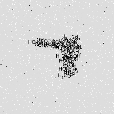 CC(=O)N[C@H](C(=O)O[C@@H]([C@@H](OC(=O)[C@@H](N)C(C)C)[C@@H](COC(=O)[C@H](C)N)OC(=O)[C@@H]1CCCN1)[C@@H](N)C=O)[C@@H](C)OC(=O)[C@H](C)N.CC(=O)N[C@H]1[C@H]([C@H](O)[C@H](O)CO)O[C@](O)(C(=O)O)C[C@@H]1O.CC(C)[C@H](N)C(=O)O.CC(C)[C@H](N)C(=O)O.CC(C)[C@H](N)C(=O)O[C@@H](C=O)[C@@H](O)[C@@H](O)[C@H](O)CO.C[C@H](N)C(=O)O